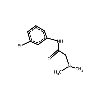 CCc1cccc(NC(=O)CN(C)C)c1